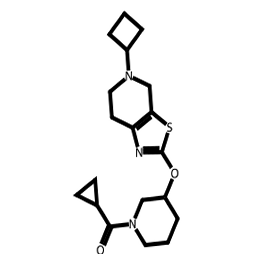 O=C(C1CC1)N1CCCC(Oc2nc3c(s2)CN(C2CCC2)CC3)C1